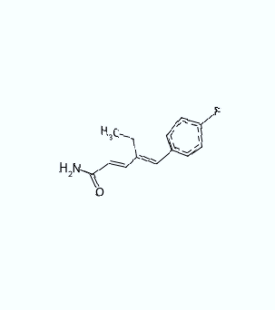 CCC(/C=C/C(N)=O)=C\c1ccc(F)cc1